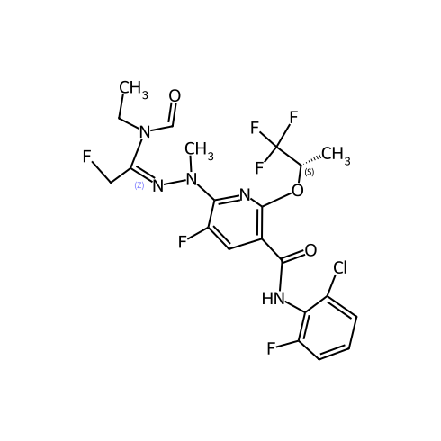 CCN(C=O)/C(CF)=N\N(C)c1nc(O[C@@H](C)C(F)(F)F)c(C(=O)Nc2c(F)cccc2Cl)cc1F